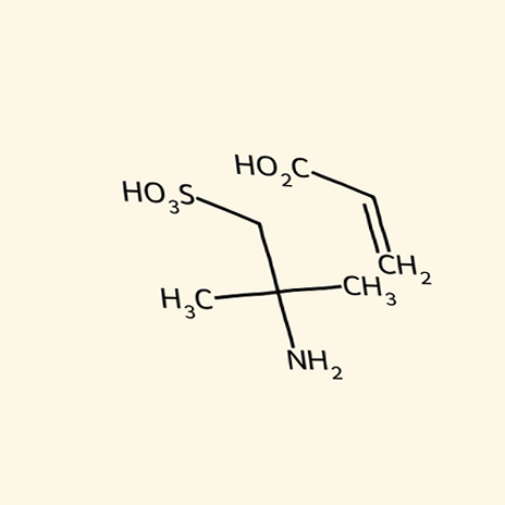 C=CC(=O)O.CC(C)(N)CS(=O)(=O)O